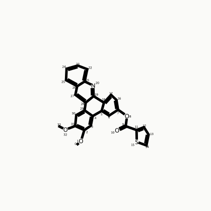 COc1cc2c3cc(OC(=O)c4cccs4)ccc3c3nc4ccccc4cc3c2cc1OC